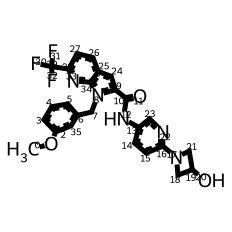 COc1cccc(Cn2c(C(=O)Nc3ccc(N4CC(O)C4)nc3)cc3ccc(C(F)(F)F)nc32)c1